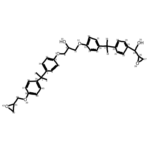 CC(C)(c1ccc(OCC(O)COc2ccc(C(C)(C)c3ccc(C(O)C4CO4)cc3)cc2)cc1)c1ccc(OCC2CO2)cc1